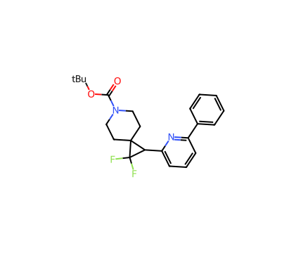 CC(C)(C)OC(=O)N1CCC2(CC1)C(c1cccc(-c3ccccc3)n1)C2(F)F